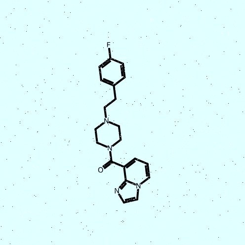 O=C(c1cccn2ccnc12)N1CCN(CCc2ccc(F)cc2)CC1